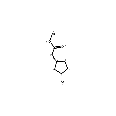 CC(=O)[C@H]1CC[C@H](NC(=O)OC(C)(C)C)C1